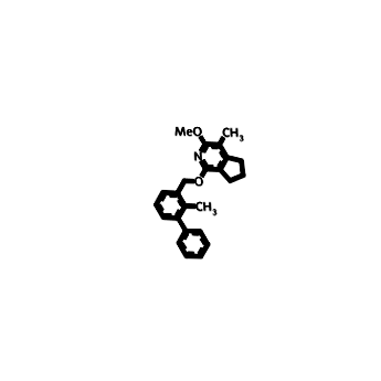 COc1nc(OCc2cccc(-c3ccccc3)c2C)c2c(c1C)CCC2